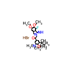 Br.CCOc1cc2c(c(F)c1OCC)C(=N)N(CC(=O)c1cc(N(C)C)c(OC)c(C(C)(C)C)c1)C2